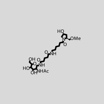 COC[C@@H]1C[C@@H](O)CN1C(=O)CCCCCNC(=O)CCCC(=O)NC1OC(CO)C(O)C(O)C1NC(C)=O